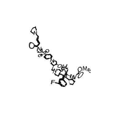 COC(=O)N[C@H]1CCC[C@@H]1[C@](CN1CCC1)(c1cccc(F)c1)C1CCN(C[C@H]2CN(c3ccc(S(=O)(=O)C4CN(C(=O)/C=C/CN5CCCCC5)C4)cc3)C[C@H]2O)CC1